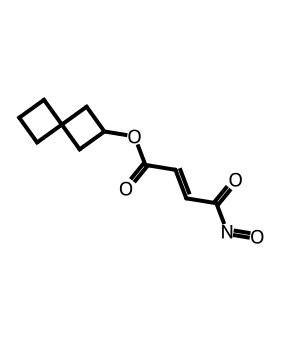 O=NC(=O)/C=C/C(=O)OC1CC2(CCC2)C1